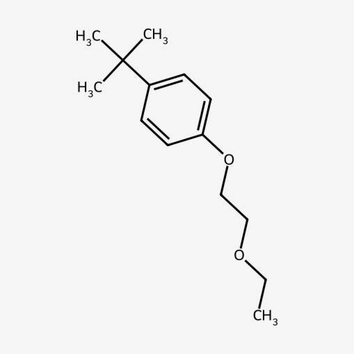 CCOCCOc1ccc(C(C)(C)C)cc1